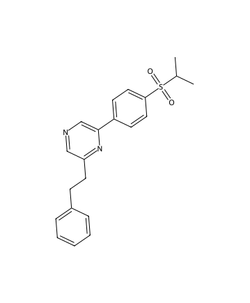 CC(C)S(=O)(=O)c1ccc(-c2cncc(CCc3ccccc3)n2)cc1